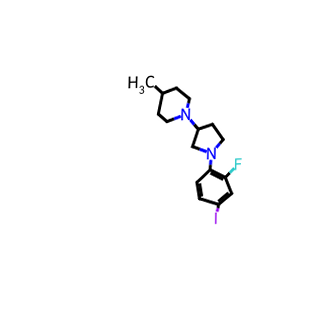 CC1CCN(C2CCN(c3ccc(I)cc3F)C2)CC1